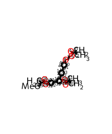 C=C(C)C(=O)OCCOC1CCC(C2CCC(c3cc(-c4ccc(OC(=O)C(=C)COC)cc4)ccc3OC(=O)C(=C)C)CC2)CC1